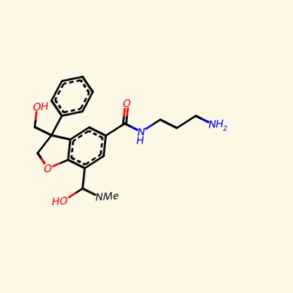 CNC(O)c1cc(C(=O)NCCCN)cc2c1OCC2(CO)c1ccccc1